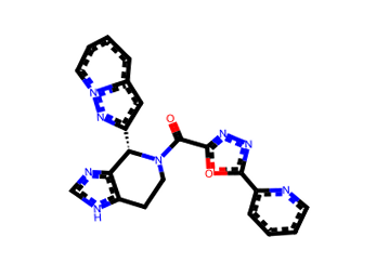 O=C(c1nnc(-c2ccccn2)o1)N1CCc2[nH]cnc2[C@@H]1c1cc2ccccn2n1